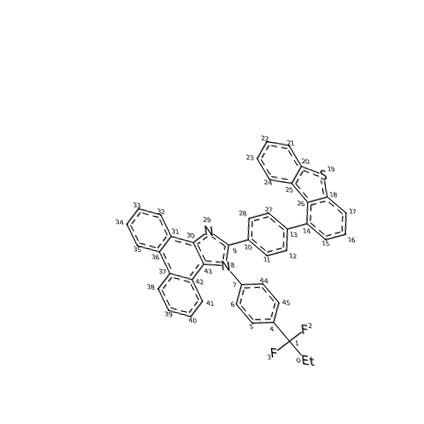 CCC(F)(F)c1ccc(-n2c(-c3ccc(-c4cccc5sc6ccccc6c45)cc3)nc3c4ccccc4c4ccccc4c32)cc1